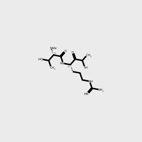 CN[C@H](C(=O)N[C@@H](CCCNC(=N)N)C(=O)C(C)S)C(C)O